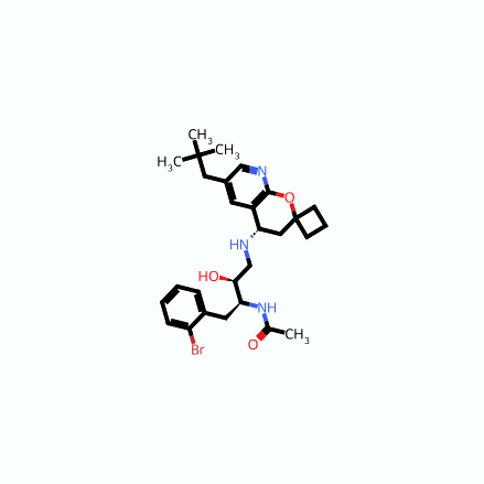 CC(=O)N[C@@H](Cc1ccccc1Br)[C@@H](O)CN[C@H]1CC2(CCC2)Oc2ncc(CC(C)(C)C)cc21